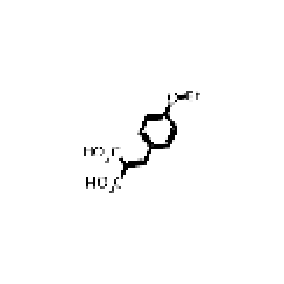 CCOc1ccc(C=C(C(=O)O)C(=O)O)cc1